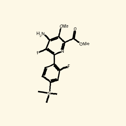 COC(=O)c1nc(-c2ccc([Si](C)(C)C)cc2F)c(F)c(N)c1OC